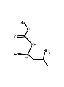 CC(=O)[C@H](CC(C)N)NC(=O)OC(C)(C)C